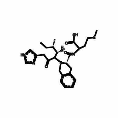 CC[C@H](C)[C@H](N)C(C(=O)Cc1c[nH]cn1)N1Cc2ccccc2C[C@H]1C(=O)NC(CCSC)C(=O)O